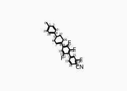 Cc1ccc(C2CC=C(c3cc(F)c(-c4ccc(C#N)c(F)c4)c(F)c3F)CC2)cc1